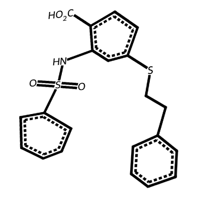 O=C(O)c1ccc(SCCc2ccccc2)cc1NS(=O)(=O)c1ccccc1